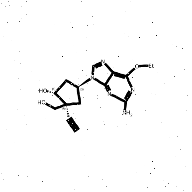 C#C[C@@]1(CO)C[C@H](n2cnc3c(OCC)nc(N)nc32)C[C@H]1O